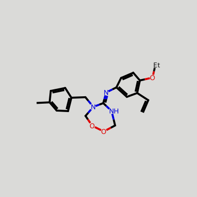 C=Cc1cc(/N=C2\NCOOCN2Cc2ccc(C)cc2)ccc1OCC